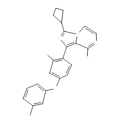 Cc1cccc(Oc2ccc(-c3nc(C4CCC4)n4ccnc(N)c34)c(F)c2)c1